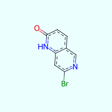 O=c1ccc2cnc(Br)cc2[nH]1